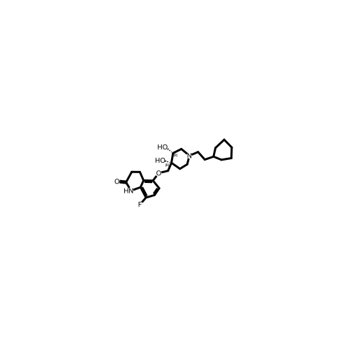 O=C1CCc2c(OC[C@]3(O)CCN(CCC4CCCCC4)C[C@H]3O)ccc(F)c2N1